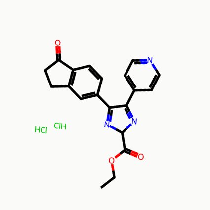 CCOC(=O)C1N=C(c2ccncc2)C(c2ccc3c(c2)CCC3=O)=N1.Cl.Cl